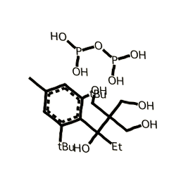 CCC(O)(c1c(C(C)(C)C)cc(C)cc1C(C)(C)C)C(CO)(CO)CO.OP(O)OP(O)O